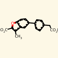 CCOC(=O)Cc1ccc(-c2ccc3oc(C(=O)OCC)c(C)c3c2)cc1